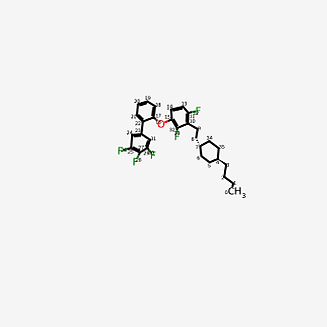 CCCC[C@H]1CC[C@H](CCc2c(F)c[c]c(Oc3ccccc3-c3cc(F)c(F)c(F)c3)c2F)CC1